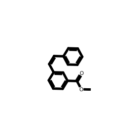 COC(=O)c1cccc(/C=C\c2ccccc2)c1